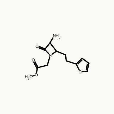 COC(=O)CN1C(=O)C(N)C1CCc1ccco1